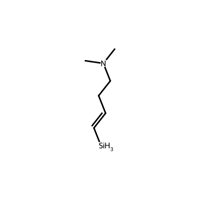 CN(C)CCC=C[SiH3]